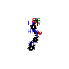 O=C1N=C(Nc2ccc(NS(=O)(=O)C(F)(F)F)cc2)S/C1=C\c1ccc(N2CCc3ccccc3C2)cc1